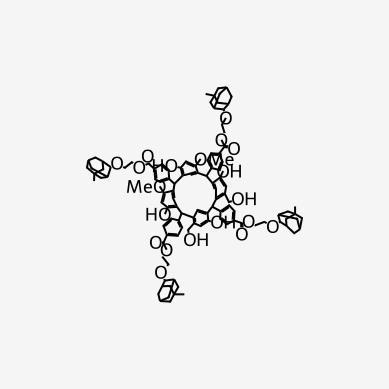 COc1cc(O)c2cc1C(c1ccc(C(=O)OCCOC3C4CC5CC3CC(C)(C5)C4)cc1)c1cc(c(OC)cc1O)C(c1ccc(C(=O)OCCOC3C4CC5CC3CC(C)(C5)C4)cc1)c1cc(c(CO)cc1O)C(c1ccc(C(=O)OCCOC3C4CC5CC3CC(C)(C5)C4)cc1)c1cc(c(CO)cc1O)C2c1ccc(C(=O)OCCOC2C3CC4CC2CC(C)(C4)C3)cc1